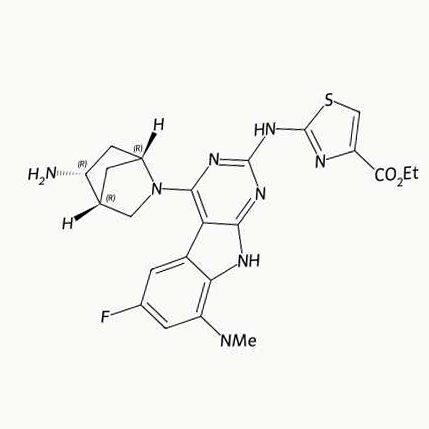 CCOC(=O)c1csc(Nc2nc(N3C[C@H]4C[C@@H]3C[C@H]4N)c3c(n2)[nH]c2c(NC)cc(F)cc23)n1